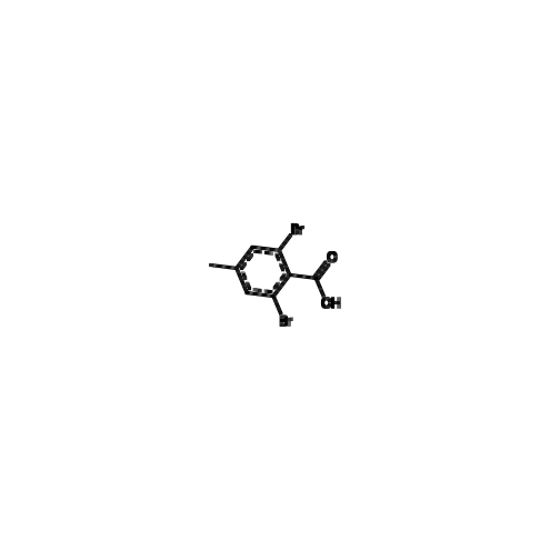 Cc1cc(Br)c(C(=O)O)c(Br)c1